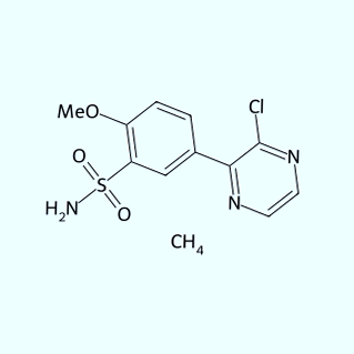 C.COc1ccc(-c2nccnc2Cl)cc1S(N)(=O)=O